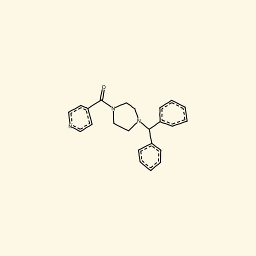 O=C(c1ccncc1)N1CCN(C(c2ccccc2)c2ccccc2)CC1